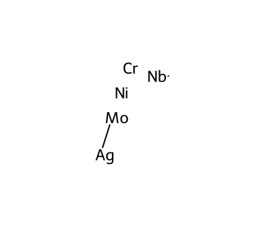 [Cr].[Mo][Ag].[Nb].[Ni]